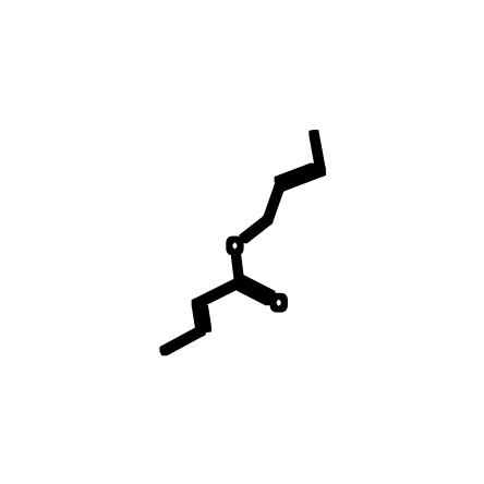 CC=CCOC(=O)C=CC